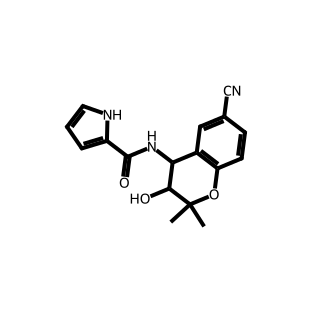 CC1(C)Oc2ccc(C#N)cc2C(NC(=O)c2ccc[nH]2)C1O